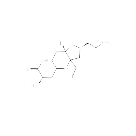 C=C(O)[C@H](C)CC1CC[C@@H]2O[C@@H](CCC=O)CC2(CI)O1